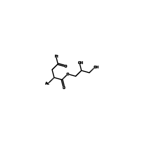 CCC(=O)CC(C(C)=O)C(=O)OCC(O)CO